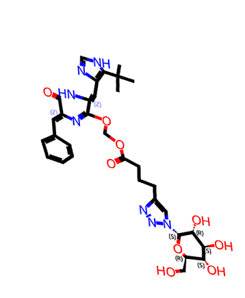 CC(C)(C)c1[nH]cnc1/C=c1\[nH]c(=O)/c(=C/c2ccccc2)nc1OCOC(=O)CCCc1cn([C@H]2O[C@H](CO)[C@@H](O)[C@H](O)[C@H]2O)nn1